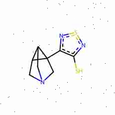 Sc1nsnc1C12CN3CC1C2C3